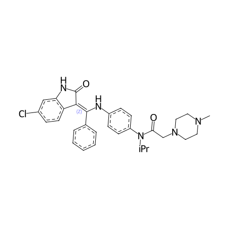 CC(C)N(C(=O)CN1CCN(C)CC1)c1ccc(N/C(=C2\C(=O)Nc3cc(Cl)ccc32)c2ccccc2)cc1